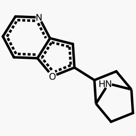 c1cnc2cc(C3CC4CCC3N4)oc2c1